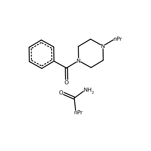 CCCC(N)=O.CCCN1CCN(C(=O)c2ccccc2)CC1